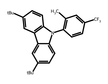 Cc1cc(C(F)(F)F)ccc1-n1c2ccc(C(C)(C)C)cc2c2cc(C(C)(C)C)ccc21